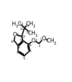 COCOc1cccc2c1C(C(C)(C)C)OC2